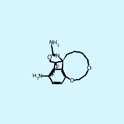 NC1=N[C@@]2(CCCCOCCOc3ccc(N)cc32)C(F)(F)CO1